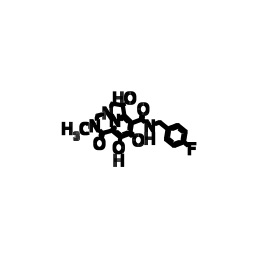 CN1CN2CC(O)c3c(C(=O)NCc4ccc(F)cc4)c(=O)c(O)c(n32)C1=O